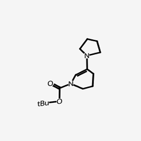 CC(C)(C)OC(=O)N1C=C(N2CCCC2)CCC1